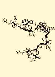 CC(Br)C(=O)OCC(CSCC(C)C(=O)OCCC[Si](C)(C)O[Si](C)(C)CCCOC(=O)C(C)CSCC(COC(=O)C(C)Br)OC(=O)C(C)Br)OC(=O)C(C)Br